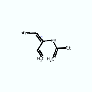 C=C/C(=C\CCC)NC(=C)CC